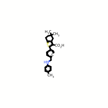 Cc1ccc(NCc2ccc(-c3sc4c(c3C(=O)O)CC(C)(C)CC4)cc2)cc1